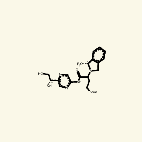 CSCCC(C(=O)Nc1cnc([C@H](O)CO)cn1)N1Cc2ccccc2[C@H]1C(F)(F)F